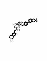 O=C(NCc1ccc2c(c1)CCNC2)O[C@@H]1[C@@H](O)CN[C@@H]1Cc1ccc(-c2ccc3c(c2)CC(F)(F)C3)cc1